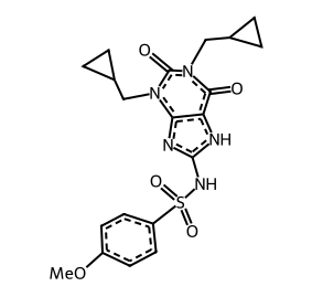 COc1ccc(S(=O)(=O)Nc2nc3c([nH]2)c(=O)n(CC2CC2)c(=O)n3CC2CC2)cc1